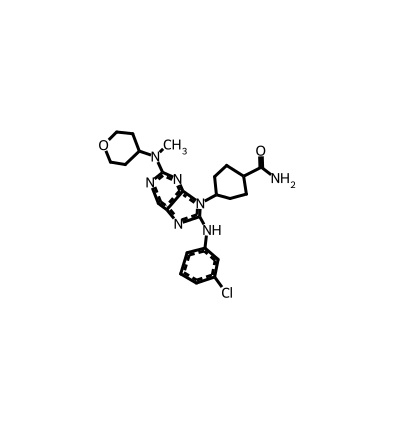 CN(c1ncc2nc(Nc3cccc(Cl)c3)n(C3CCC(C(N)=O)CC3)c2n1)C1CCOCC1